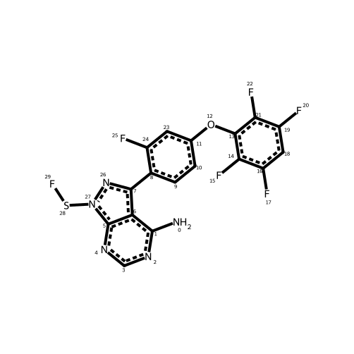 Nc1ncnc2c1c(-c1ccc(Oc3c(F)c(F)cc(F)c3F)cc1F)nn2SF